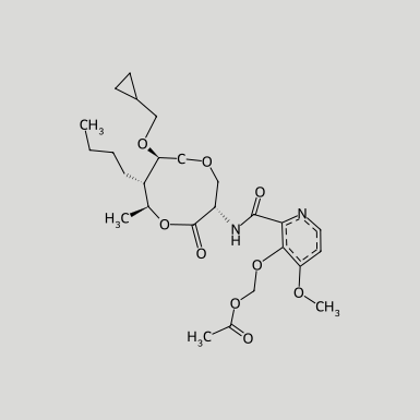 CCCC[C@H]1[C@H](C)OC(=O)[C@@H](NC(=O)c2nccc(OC)c2OCOC(C)=O)COC[C@@H]1OCC1CC1